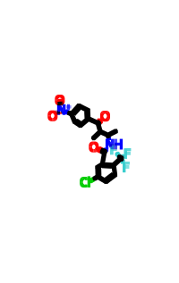 CC(NC(=O)c1cc(Cl)ccc1C(F)(F)F)C(C)C(=O)c1ccc([N+](=O)[O-])cc1